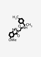 COc1ccc2nnn(CC(=O)N[C@@H](C)c3ccc(C)cc3)c(=O)c2c1